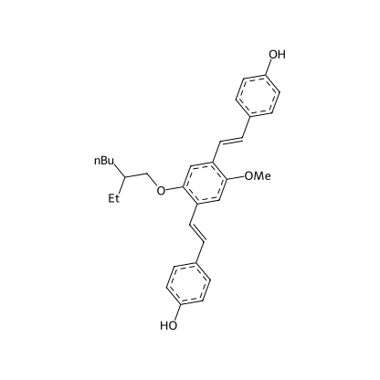 CCCCC(CC)COc1cc(C=Cc2ccc(O)cc2)c(OC)cc1C=Cc1ccc(O)cc1